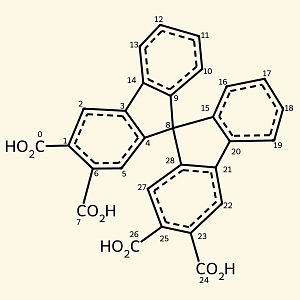 O=C(O)c1cc2c(cc1C(=O)O)C1(c3ccccc3-2)c2ccccc2-c2cc(C(=O)O)c(C(=O)O)cc21